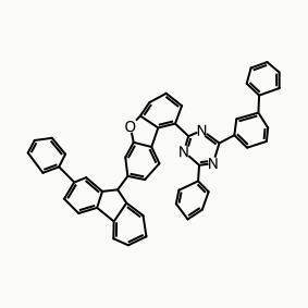 c1ccc(-c2cccc(-c3nc(-c4ccccc4)nc(-c4cccc5oc6cc(C7c8ccccc8-c8ccc(-c9ccccc9)cc87)ccc6c45)n3)c2)cc1